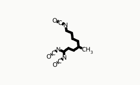 CC(CCCCN=C=O)CCC(N=C=O)N=C=O